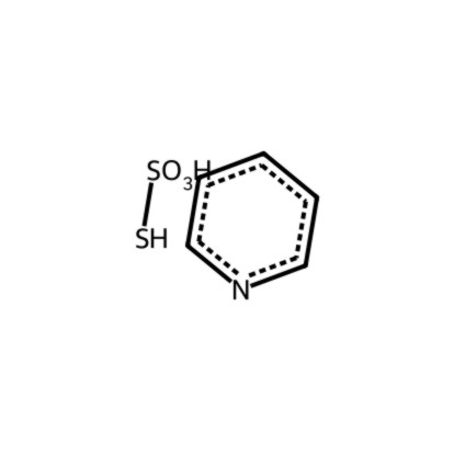 O=S(=O)(O)S.c1ccncc1